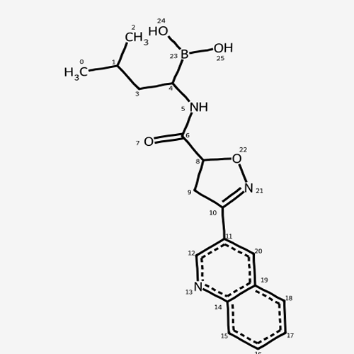 CC(C)CC(NC(=O)C1CC(c2cnc3ccccc3c2)=NO1)B(O)O